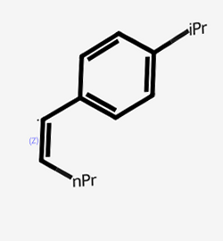 CCC/C=[C]\c1ccc(C(C)C)cc1